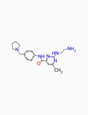 Cc1cc(C(=O)Nc2ccc(CN3CCCC3)cc2)nc(NCCN)n1